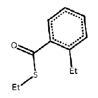 CCSC(=O)c1ccccc1CC